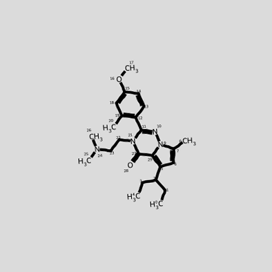 CCC(CC)c1cc(C)n2nc(-c3ccc(OC)cc3C)n(CCN(C)C)c(=O)c12